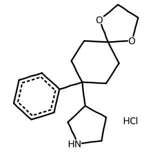 Cl.c1ccc(C2(C3CCNC3)CCC3(CC2)OCCO3)cc1